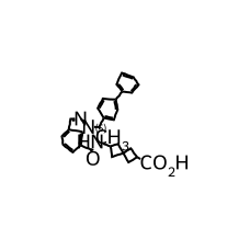 C[C@@H](c1ccc(-c2ccccc2)cc1)n1ncc2cccc(C(=O)NC3CC4(C3)CC(C(=O)O)C4)c21